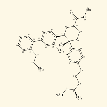 COC[C@H](C)COCc1ccc([C@@]2(O)CCN(C(=O)OC(C)(C)C)C[C@@H]2c2ccc(-c3ccccc3CCN)cc2C)cc1